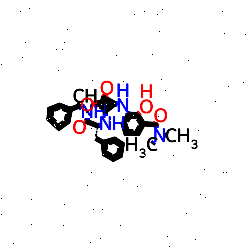 C[C@@H](NC(=O)[C@@H](Cc1ccccc1)Nc1c(Nc2cccc(C(=O)N(C)C)c2O)c(=O)c1=O)c1ccccc1